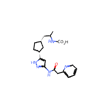 CC(C[C@H]1CC[C@@H](c2cc(NC(=O)Cc3ccccn3)n[nH]2)C1)NC(=O)O